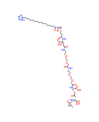 CC(=O)CN[C@H](CC(=O)CC[C@H](NC(=O)COCCOCCNC(=O)COCCOCCNC(=O)CC[C@H](NC(=O)CCCS(=O)(=O)NC(=O)CCCCCCCCCCCCCCCc1nnn[nH]1)C(=O)O)C(=O)O)C(=O)O